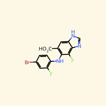 O=C(O)c1cc2[nH]cnc2c(F)c1Nc1ccc(Br)cc1F